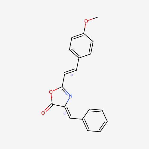 COc1ccc(/C=C/C2=NC(=C\c3ccccc3)/C(=O)O2)cc1